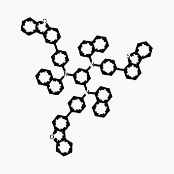 c1ccc2c(N(c3ccc(-c4ccc5oc6ccccc6c5c4)cc3)c3cc(N(c4ccc(-c5ccc6oc7ccccc7c6c5)cc4)c4cccc5ccccc45)cc(N(c4ccc(-c5cccc6c5sc5ccccc56)cc4)c4cccc5ccccc45)c3)cccc2c1